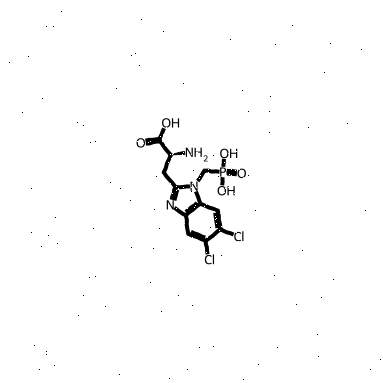 N[C@@H](Cc1nc2cc(Cl)c(Cl)cc2n1CP(=O)(O)O)C(=O)O